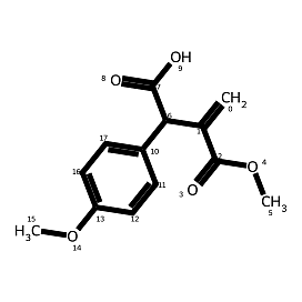 C=C(C(=O)OC)C(C(=O)O)c1ccc(OC)cc1